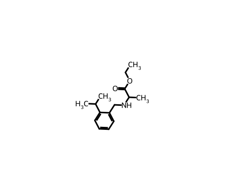 CCOC(=O)C(C)NCc1ccccc1C(C)C